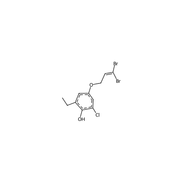 CCc1cc(OCC=C(Br)Br)cc(Cl)c1O